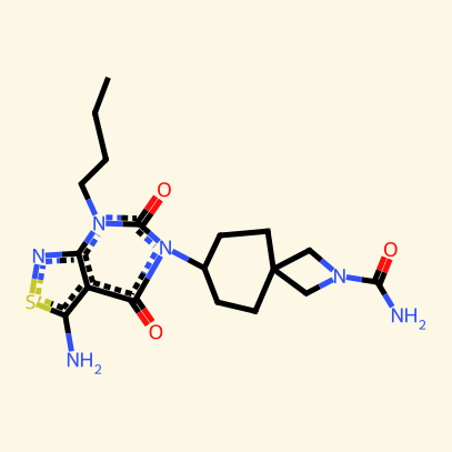 CCCCn1c(=O)n(C2CCC3(CC2)CN(C(N)=O)C3)c(=O)c2c(N)snc21